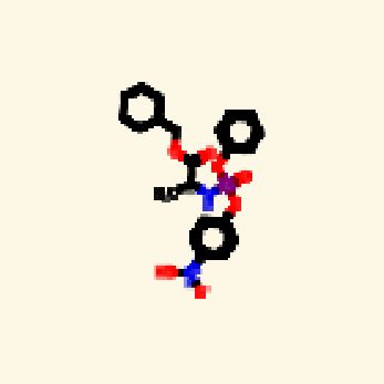 C[C@H](NP(=O)(Oc1ccccc1)Oc1ccc([NH+]([O-])O)cc1)C(=O)OCC1CCCCC1